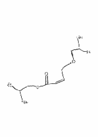 CCCCC(CC)COC/C=C\C(=O)OCC(CC)CCCC